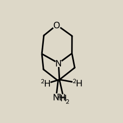 [2H]C([2H])([2H])N1C2COCC1CC(N)C2